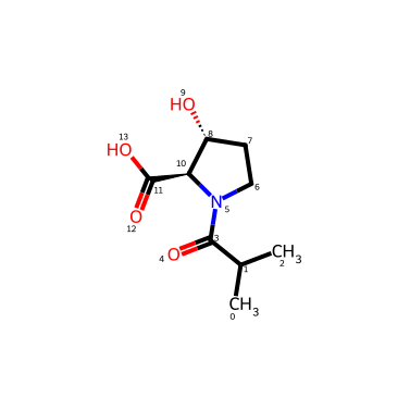 CC(C)C(=O)N1CC[C@@H](O)[C@@H]1C(=O)O